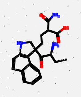 CC[C@H](N)C(=O)C1(CCC(C(N)=O)C(=O)O)CNc2ccc3ccccc3c21